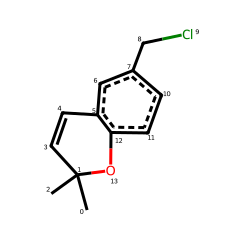 CC1(C)C=Cc2cc(CCl)ccc2O1